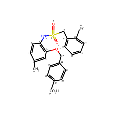 Cc1ccc(NS(=O)(=O)Cc2ccccc2C(C)C)c(OCc2ccc(C(=O)O)cc2)c1